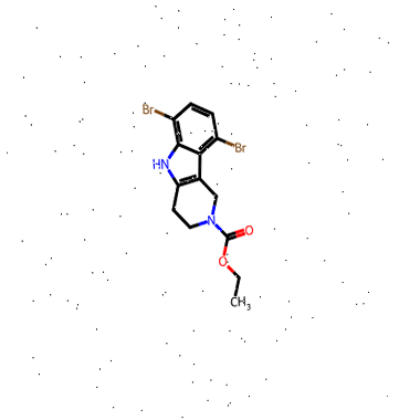 CCOC(=O)N1CCc2[nH]c3c(Br)ccc(Br)c3c2C1